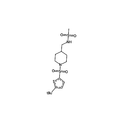 CC(C)(C)c1ccc(S(=O)(=O)N2CCC(CNS(C)(=O)=O)CC2)s1